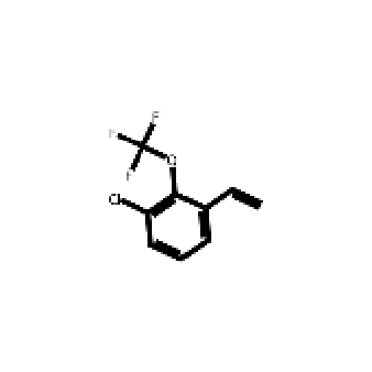 C=Cc1cccc(Cl)c1OC(F)(F)F